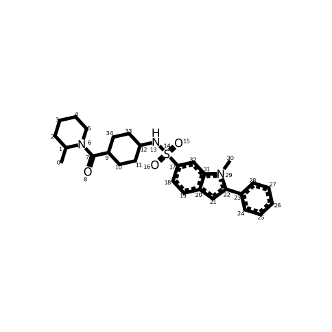 CC1CCCCN1C(=O)C1CCC(NS(=O)(=O)c2ccc3cc(-c4ccccc4)n(C)c3c2)CC1